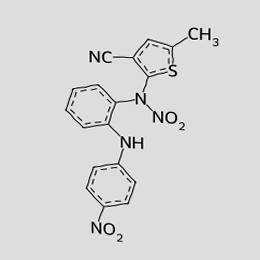 Cc1cc(C#N)c(N(c2ccccc2Nc2ccc([N+](=O)[O-])cc2)[N+](=O)[O-])s1